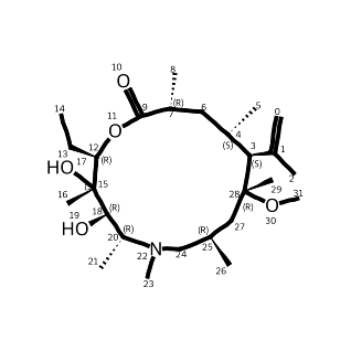 C=C(C)[C@@H]1[C@@H](C)C[C@@H](C)C(=O)O[C@H](CC)[C@@](C)(O)[C@H](O)[C@@H](C)N(C)C[C@H](C)C[C@@]1(C)OC